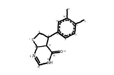 Cc1ccc(C2CSC3N=CNC(=O)C32)cc1C